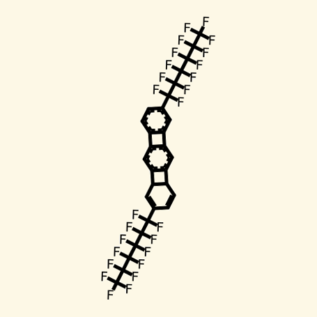 FC(F)(F)C(F)(F)C(F)(F)C(F)(F)C(F)(F)C(F)(F)C1=CC2c3cc4c(cc3C2C=C1)-c1cc(C(F)(F)C(F)(F)C(F)(F)C(F)(F)C(F)(F)C(F)(F)F)ccc1-4